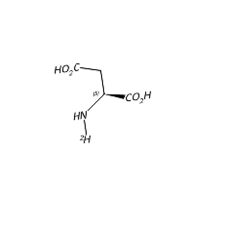 [2H]N[C@@H](CC(=O)O)C(=O)O